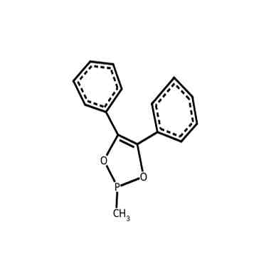 CP1OC(c2ccccc2)=C(c2ccccc2)O1